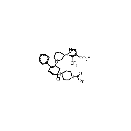 CCOC(=O)c1cnn(C2CCCN(C3=C(c4ccccc4)C=CC(Cl)(N4CCN(C(=O)C(C)C)CC4)C3)C2)c1C(F)(F)F